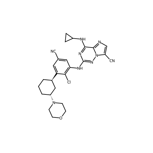 N#Cc1cc(Nc2nc(NC3CC3)c3ncc(C#N)n3n2)c(Cl)c([C@@H]2CCC[C@@H](N3CCOCC3)C2)c1